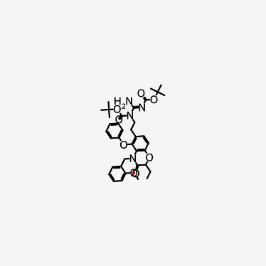 CCC1Oc2ccc(CCN(C(=O)OC(C)(C)C)C(N)=NC(=O)OC(C)(C)C)c(Oc3ccccc3)c2N(Cc2ccccc2OC)C1=O